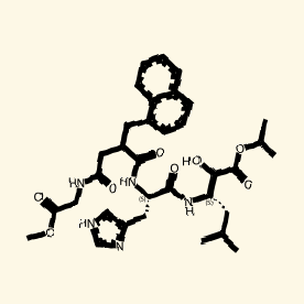 COC(=O)CNC(=O)CC(Cc1cccc2ccccc12)C(=O)N[C@@H](Cc1c[nH]cn1)C(=O)N[C@@H](CC(C)C)C(O)C(=O)OC(C)C